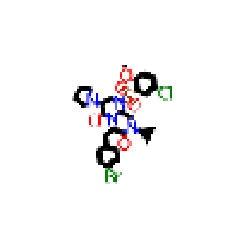 COc1ccc(Cl)cc1S(=O)(=O)N1CC(N2CCCC2)C(=O)N2C(Cc3ccc(Br)cc3)C(=O)N(C3CC3)CC21